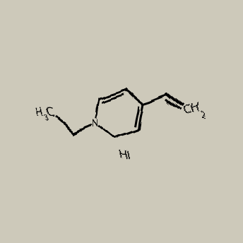 C=CC1=CCN(CC)C=C1.I